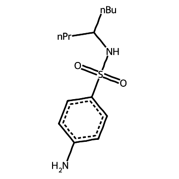 CCCCC(CCC)NS(=O)(=O)c1ccc(N)cc1